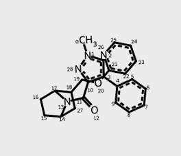 Cn1cc(-c2ccccc2)c(C(=O)N2C3CCC2C(COc2ccccn2)C3)n1